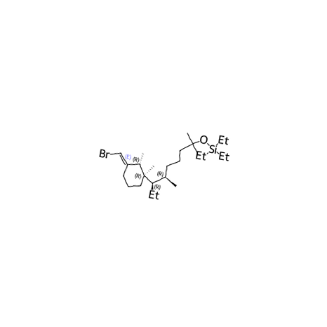 CC[C@H]([C@H](C)CCCC(C)(C)O[Si](CC)(CC)CC)[C@@]1(C)CCC/C(=C\Br)[C@@H]1C